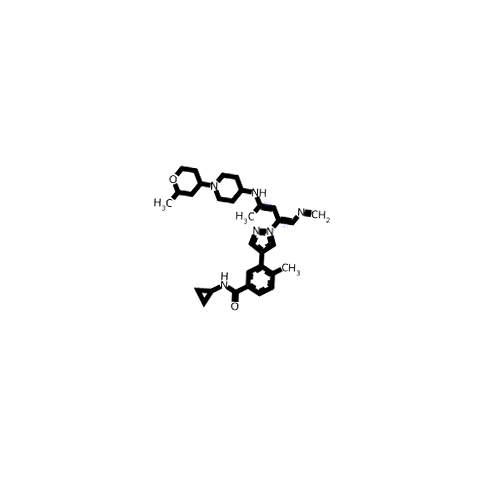 C=N/C=C(\C=C(/C)NC1CCN(C2CCOC(C)C2)CC1)n1cc(-c2cc(C(=O)NC3CC3)ccc2C)cn1